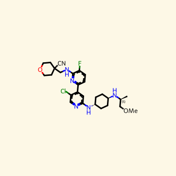 COC[C@H](C)N[C@H]1CC[C@H](Nc2cc(-c3ccc(F)c(NCC4(C#N)CCOCC4)n3)c(Cl)cn2)CC1